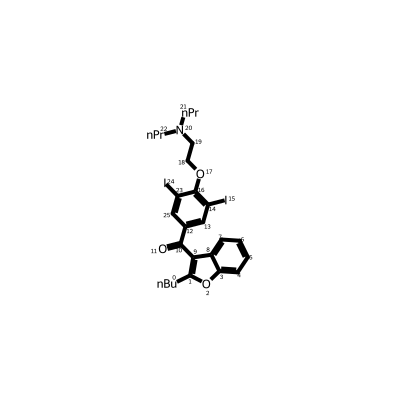 CCCCc1oc2ccccc2c1C(=O)c1cc(I)c(OCCN(CCC)CCC)c(I)c1